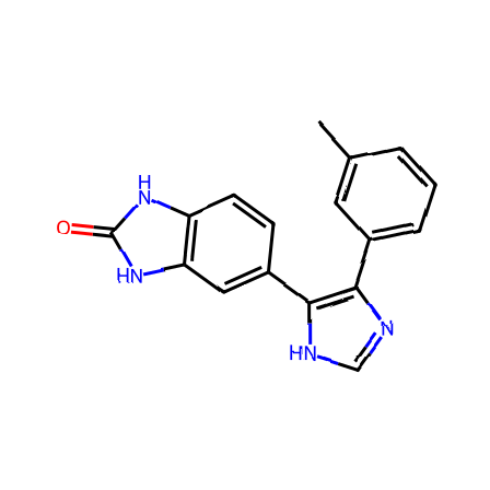 Cc1cccc(-c2nc[nH]c2-c2ccc3[nH]c(=O)[nH]c3c2)c1